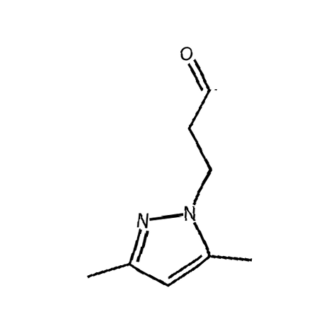 Cc1cc(C)n(CC[C]=O)n1